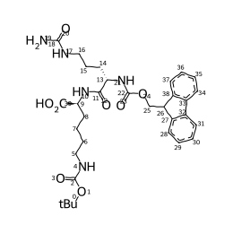 CC(C)(C)OC(=O)NCCCC[C@H](NC(=O)[C@H](CCCNC(N)=O)NC(=O)OCC1c2ccccc2-c2ccccc21)C(=O)O